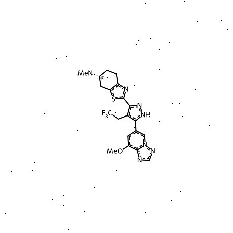 CN[C@@H]1CCc2nc(-c3n[nH]c(-c4cc(OC)c5ncnn5c4)c3CC(F)(F)F)sc2C1